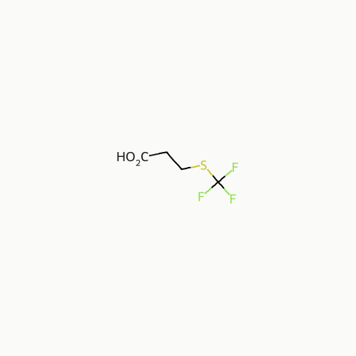 O=C(O)CCSC(F)(F)F